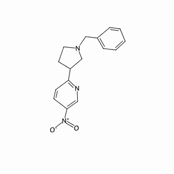 O=[N+]([O-])c1ccc(C2CCN(Cc3ccccc3)C2)nc1